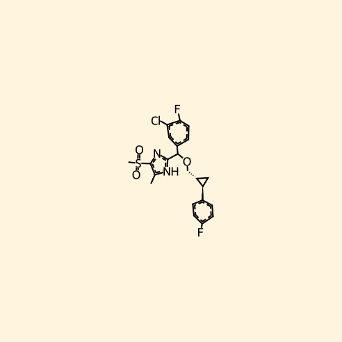 Cc1[nH]c(C(OC[C@@H]2C[C@H]2c2ccc(F)cc2)c2ccc(F)c(Cl)c2)nc1S(C)(=O)=O